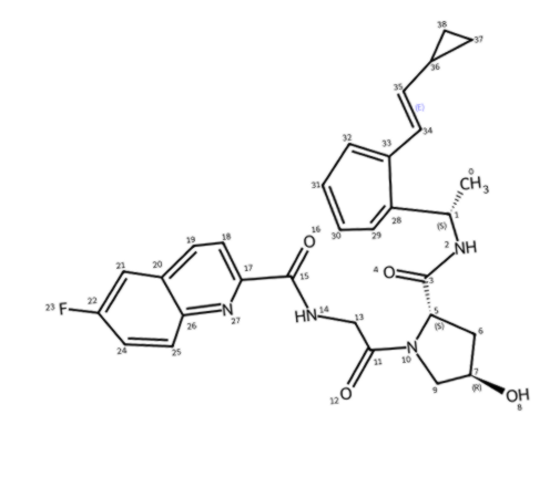 C[C@H](NC(=O)[C@@H]1C[C@@H](O)CN1C(=O)CNC(=O)c1ccc2cc(F)ccc2n1)c1ccccc1/C=C/C1CC1